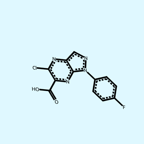 O=C(O)c1nc2c(cnn2-c2ccc(F)cc2)nc1Cl